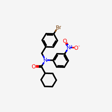 O=C(C1CCCCC1)N(Cc1ccc(Br)cc1)c1cccc([N+](=O)[O-])c1